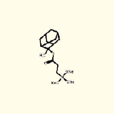 CO[Si](CCC(=O)OC1(C)C2CC3CC(C2)CC1C3)(OC)OC